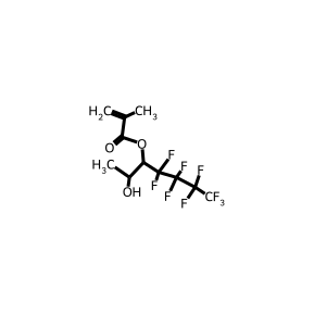 C=C(C)C(=O)OC(C(C)O)C(F)(F)C(F)(F)C(F)(F)C(F)(F)F